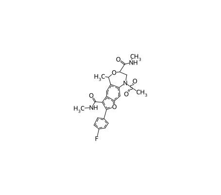 CNC(=O)c1c(-c2ccc(F)cc2)oc2cc3c(cc12)C(C)OC(C(=O)NC)CN3S(C)(=O)=O